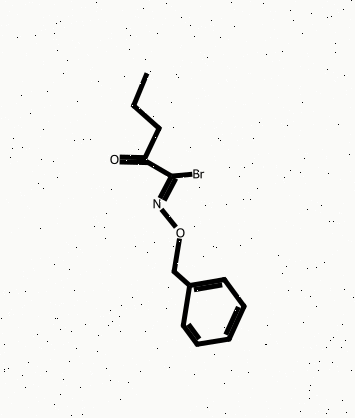 CCCC(=O)/C(Br)=N/OCc1ccccc1